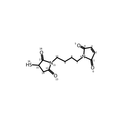 O=C1C=CC(=O)N1CCCCN1C(=O)CC(S)C1=O